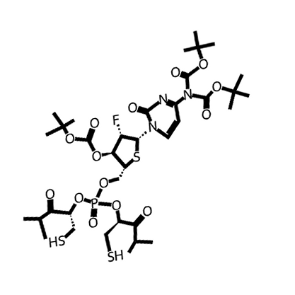 CC(C)C(=O)[C@@H](CS)OP(=O)(OC[C@H]1S[C@@H](n2ccc(N(C(=O)OC(C)(C)C)C(=O)OC(C)(C)C)nc2=O)[C@@H](F)[C@@H]1OC(=O)OC(C)(C)C)O[C@H](CS)C(=O)C(C)C